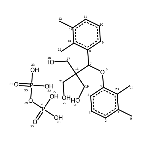 Cc1cccc(OC(c2cccc(C)c2C)C(CO)(CO)CO)c1C.O=P(O)(O)OP(=O)(O)O